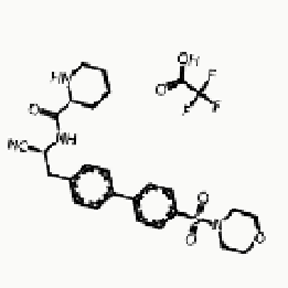 N#C[C@H](Cc1ccc(-c2ccc(S(=O)(=O)N3CCOCC3)cc2)cc1)NC(=O)[C@@H]1CCCCN1.O=C(O)C(F)(F)F